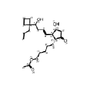 CCCC1(C(O)CC=C[C@H]2[C@H](O)CC(=O)[C@@H]2SCCCSOC(C)=O)CCC1